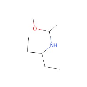 CCC(CC)NC(C)OC